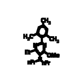 CCCN(CCC)c1c(CC)nc(-c2c(C)cc(C)cc2C)nc1OC